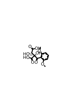 COc1cccc(OC)c1C(=O)[C@](O)(C(=O)O)[C@H](O)C(=O)O